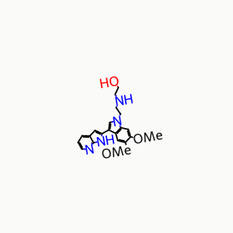 COc1cc2c(-c3cc4cccnc4[nH]3)cn(CCNCCO)c2cc1OC